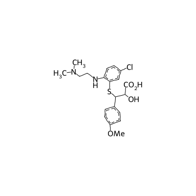 COc1ccc(C(Sc2cc(Cl)ccc2NCCN(C)C)C(O)C(=O)O)cc1